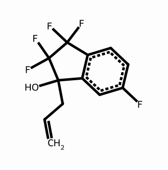 C=CCC1(O)c2cc(F)ccc2C(F)(F)C1(F)F